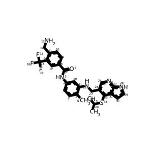 Cc1ccc(NC(=O)c2ccc(CN)c(C(F)(F)F)c2)cc1NCc1cnc2[nH]ccc2c1SC(C)C